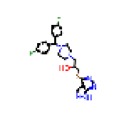 OC(CSc1ncnc2[nH]ncc12)CN1CCN(C(c2ccc(F)cc2)c2ccc(F)cc2)CC1